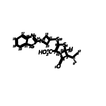 C[C@@H](I)[C@H]1C(=O)N2C(C(=O)O)=C(SC3CN(c4nc5ccccc5s4)C3)S[C@H]12